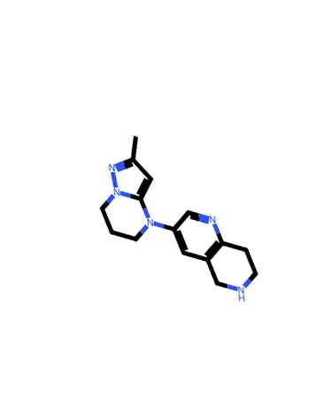 Cc1cc2n(n1)CCCN2c1cnc2c(c1)CNCC2